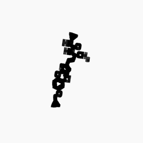 C[C@@H](/C=C/c1cnc(Oc2ccc(OCC3CC3)cc2Cl)s1)NC(=O)NC1CC1